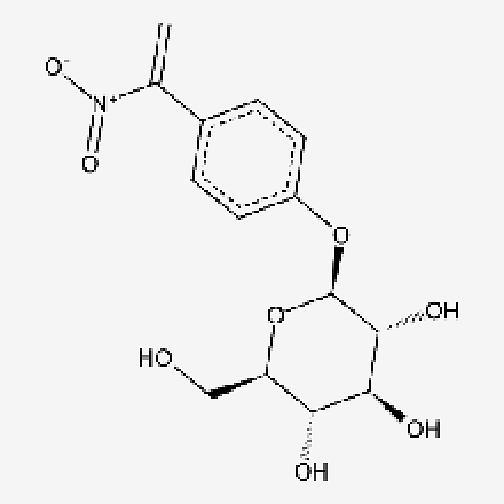 C=C(c1ccc(O[C@@H]2O[C@H](CO)[C@@H](O)[C@H](O)[C@H]2O)cc1)[N+](=O)[O-]